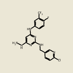 NNc1cc(Nc2ccc(F)c(C(F)(F)F)c2)nc(NCc2ccc(Cl)nc2)n1